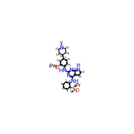 C=S(=O)(c1ccccc1Nc1nc(Nc2ccc(C3CCN(C)CC3)cc2OC(C)C)nc2[nH]ccc12)C(C)C